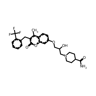 Cc1c(Cc2ccccc2C(F)(F)F)c(=O)oc2cc(OCC(O)CN3CCC(C(N)=O)CC3)ccc12